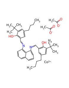 CC(=O)[O-].CC(=O)[O-].CCCCc1cc(C=Nc2cccc3cccc(N=Cc4cc(CCCC)cc(C(C)(C)C)c4O)c23)c(O)c(C(C)(C)C)c1.[Co+2]